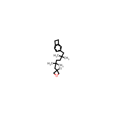 CCC1(CC(C)(C)CCC(C)(C)Cc2ccc3c(c2)CC3)COC1